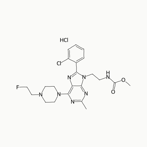 COC(=O)NCCn1c(-c2ccccc2Cl)nc2c(N3CCN(CCF)CC3)nc(C)nc21.Cl